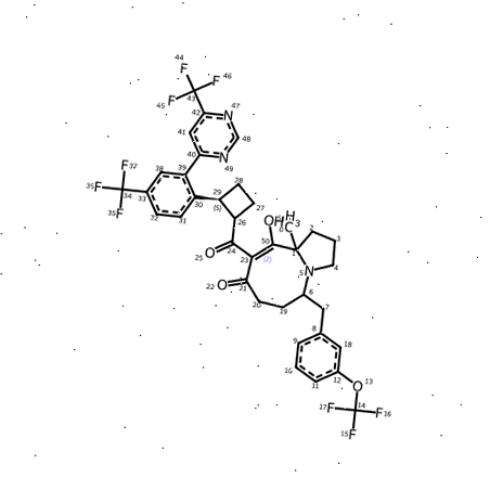 CC12CCCN1C(Cc1cccc(OC(F)(F)F)c1)CCC(=O)/C(C(=O)C1CC[C@@H]1c1ccc(C(F)(F)F)cc1-c1cc(C(F)(F)F)ncn1)=C\2O